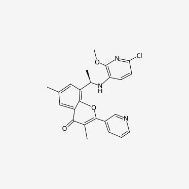 COc1nc(Cl)ccc1N[C@H](C)c1cc(C)cc2c(=O)c(C)c(-c3cccnc3)oc12